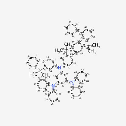 CC1(C)c2ccccc2-c2ccc(N(c3cc(-n4c5ccccc5c5ccccc54)cc(-n4c5ccccc5c5ccccc54)c3)c3ccc4c(c3)C(C)(C)c3cc5c(cc3-4)C(C)(C)c3cccc(-c4ccccc4)c3-5)cc21